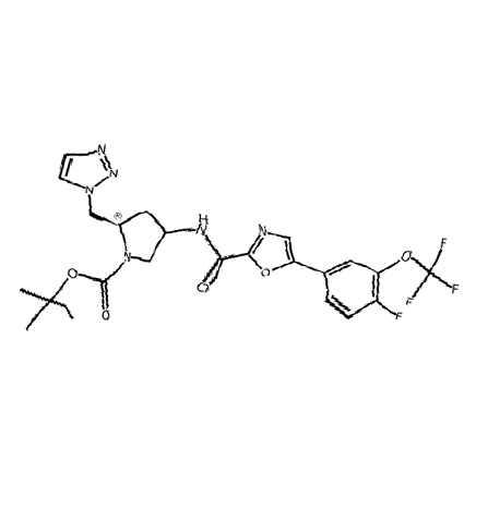 CC(C)(C)OC(=O)N1CC(NC(=O)c2ncc(-c3ccc(F)c(OC(F)(F)F)c3)o2)C[C@@H]1Cn1ccnn1